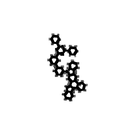 c1ccc(-c2nc(-c3ccccc3)nc(-c3cccc(-c4cccc(-n5c6ccccc6c6cc7c8ccccc8n8c9ccccc9cc8c7cc65)c4)c3)n2)cc1